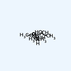 CC#CC[C@@H](C)[C@H](O)C=C[C@@H]1[C@H]2c3cccc(OCCC)c3O[C@H]2C[C@H]1O.CNC